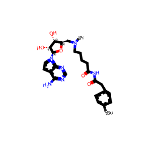 CC(C)N(CCCCC(=O)NC(=O)Cc1ccc(C(C)(C)C)cc1)C[C@H]1O[C@@H](n2ccc3c(N)ncnc32)[C@H](O)[C@@H]1O